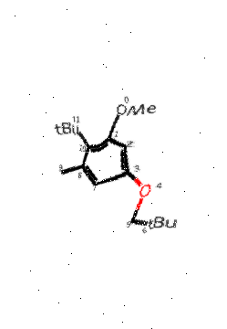 COc1cc(OCC(C)(C)C)cc(C)c1C(C)(C)C